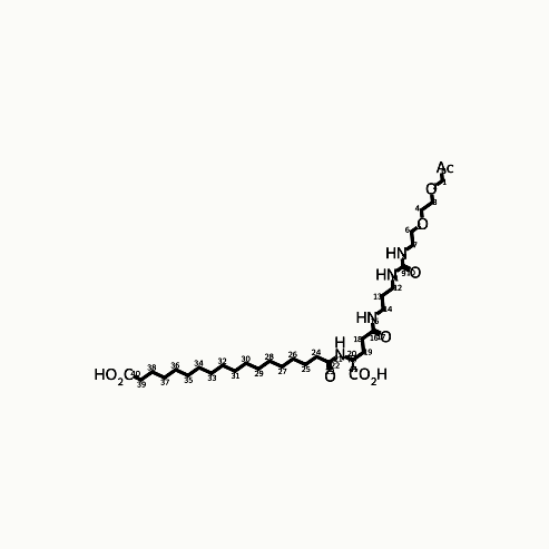 CC(=O)COCCOCCNC(=O)NCCCNC(=O)CC[C@H](NC(=O)CCCCCCCCCCCCCCCCC(=O)O)C(=O)O